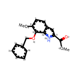 COC(=O)c1cc2ccc(OC)c(OCc3ccccc3)c2[nH]1